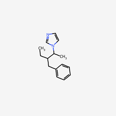 CCC(Cc1ccccc1)C(C)n1ccnc1